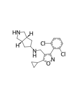 Clc1cccc(Cl)c1-c1noc(C2CC2)c1CNC1C[C@H]2CNC[C@H]2C1